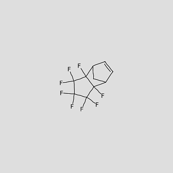 FC1(F)C(F)(F)C2(F)C3C=CC(C3)C2(F)C1(F)F